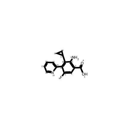 Nc1c(C(=O)O)cc(F)c(-c2ccccn2)c1C1CC1